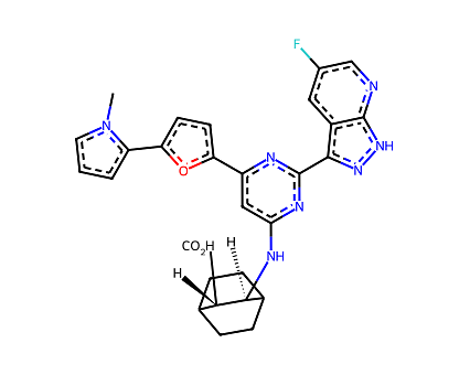 Cn1cccc1-c1ccc(-c2cc(N[C@H]3C4CCC(CC4)[C@@H]3C(=O)O)nc(-c3n[nH]c4ncc(F)cc34)n2)o1